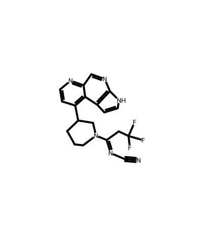 N#C/N=C(\CC(F)(F)F)N1CCCC(c2ccnc3cnc4[nH]ccc4c23)C1